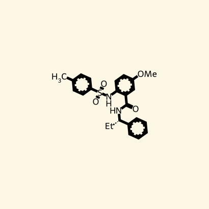 CC[C@H](NC(=O)c1cc(OC)ccc1NS(=O)(=O)c1ccc(C)cc1)c1ccccc1